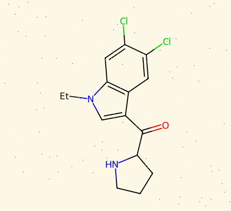 CCn1cc(C(=O)C2CCCN2)c2cc(Cl)c(Cl)cc21